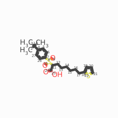 CC(C)(C)c1ccc(S(=O)(=O)C(CCCCCCc2cccs2)C(=O)O)cc1